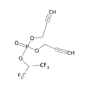 C#CCOP(=O)(OCC#C)OC(C(F)(F)F)C(F)(F)F